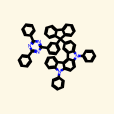 c1ccc(-c2nc(-c3ccccc3)nc(-c3cccc(C4(c5ccc6c(c5)c5c7c8ccccc8n(-c8ccccc8)c7ccc5n6-c5ccccc5)c5ccccc5-c5ccccc54)c3)n2)cc1